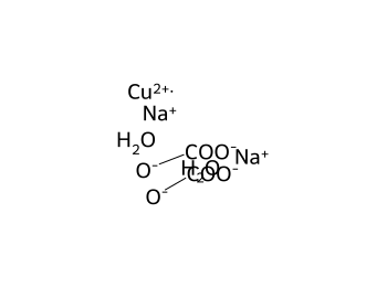 O.O.O=C([O-])[O-].O=C([O-])[O-].[Cu+2].[Na+].[Na+]